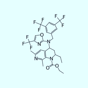 CCOC(=O)N1c2c(cc(C)nc2C)C(N(Cc2cc(C(F)(F)F)cc(C(F)(F)F)c2)c2nc(C(F)(F)F)co2)CC1CC